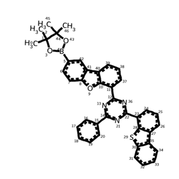 CC1(C)OB(c2ccc3oc4c(-c5nc(-c6ccccc6)nc(-c6cccc7c6sc6ccccc67)n5)cccc4c3c2)OC1(C)C